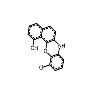 Oc1cccc2ccc3c(c12)Oc1c(Cl)cccc1N3